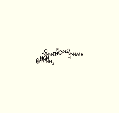 CNCCNC(=O)COc1ccc(N2CCN(CCn3c(=O)n(C)c4c3nc(N)n3nc(-c5ccco5)nc43)CC2)c(F)c1